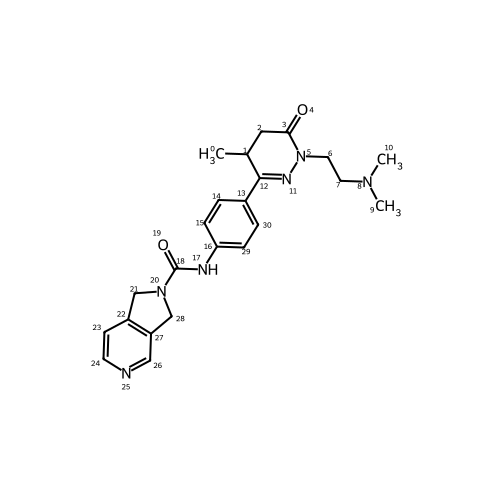 CC1CC(=O)N(CCN(C)C)N=C1c1ccc(NC(=O)N2Cc3ccncc3C2)cc1